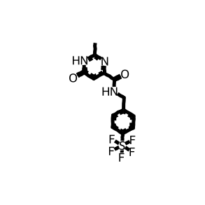 Cc1nc(C(=O)NCc2ccc(S(F)(F)(F)(F)F)cc2)cc(=O)[nH]1